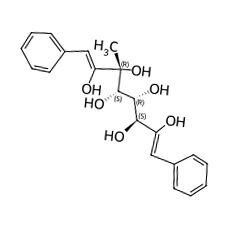 C[C@](O)(C(O)=Cc1ccccc1)[C@@H](O)[C@H](O)[C@H](O)C(O)=Cc1ccccc1